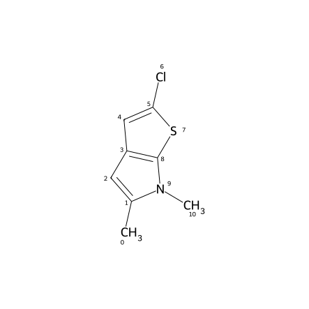 Cc1cc2cc(Cl)sc2n1C